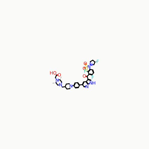 C[C@@H]1CN(CC2CCN(c3ccc(-c4cnc5[nH]cc(C(=O)c6c(F)ccc(N(N7CC[C@@H](F)C7)[SH](=O)=O)c6F)c5c4)cc3)CC2)C[C@H](C)N1CC(=O)O